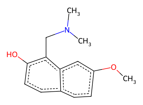 COc1ccc2ccc(O)c(CN(C)C)c2c1